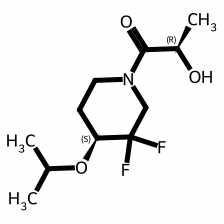 CC(C)O[C@H]1CCN(C(=O)[C@@H](C)O)CC1(F)F